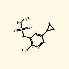 CNS(=O)(=O)Cc1cc(C2CC2)ccc1N